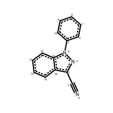 N#Cc1nn(-c2ccccc2)c2ccccc12